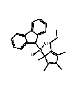 CCCC1=C(C)C(C)=C(C)[C]1(C)[Zr]([Cl])([Cl])[CH]1c2ccccc2-c2ccccc21